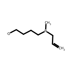 C=CCN(C)CCCC[O]